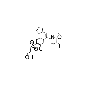 CCc1ccc(C(=CC2CCCC2)c2ccc(S(=O)(=O)CCCO)c(Cl)c2)nc1OC